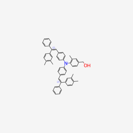 Cc1ccc(/C(=C\c2ccc(N(c3ccc(/C=C(/c4ccccc4)c4ccc(C)c(C)c4)cc3)c3ccc(CO)cc3C)cc2)c2ccccc2)cc1C